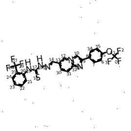 FC(F)(F)Oc1ccc(-c2cn3cc(/C=N/NC(=S)Nc4ccccc4C(F)(F)F)ccc3n2)cc1